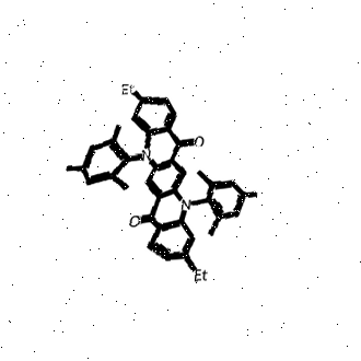 CCc1ccc2c(=O)c3cc4c(cc3n(-c3c(C)cc(C)cc3C)c2c1)c(=O)c1ccc(CC)cc1n4-c1c(C)cc(C)cc1C